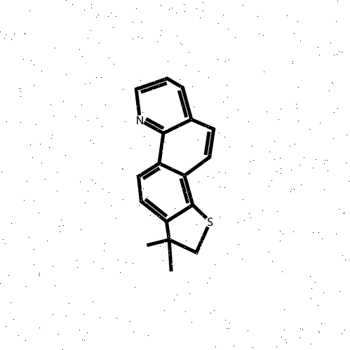 CC1(C)CSc2c1ccc1c2ccc2cccnc21